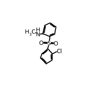 CNc1ccccc1S(=O)(=O)c1ccccc1Cl